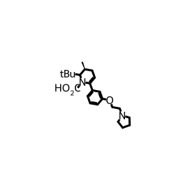 C[C@H]1CC=C(c2cccc(OCCN3CCCC3)c2)N(C(=O)O)C1C(C)(C)C